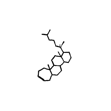 CC(C)CCC[C@@H](C)C1CCCC2C3CCC4CC=CCCC4(C)C3CCC21C